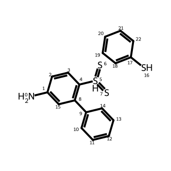 Nc1ccc([SH](=S)=S)c(-c2ccccc2)c1.Sc1ccccc1